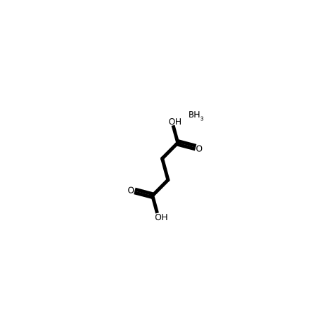 B.O=C(O)CCC(=O)O